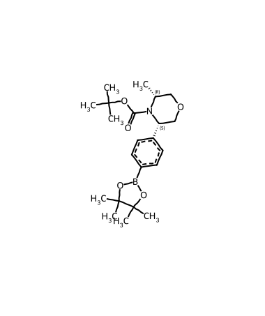 C[C@@H]1COC[C@H](c2ccc(B3OC(C)(C)C(C)(C)O3)cc2)N1C(=O)OC(C)(C)C